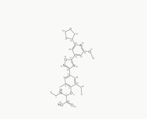 CCNC(Oc1c(C)cc(-c2noc(-c3cc(OC)nc(C4CCCC4)c3)n2)cc1CC)C(=O)O